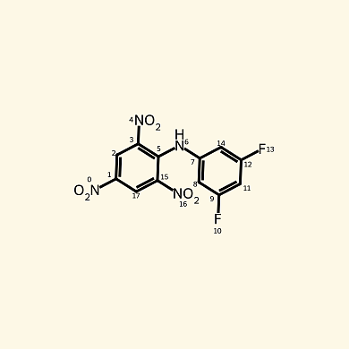 O=[N+]([O-])c1cc([N+](=O)[O-])c(Nc2cc(F)cc(F)c2)c([N+](=O)[O-])c1